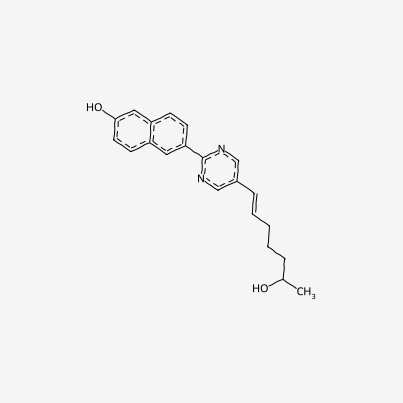 CC(O)CCCC=Cc1cnc(-c2ccc3cc(O)ccc3c2)nc1